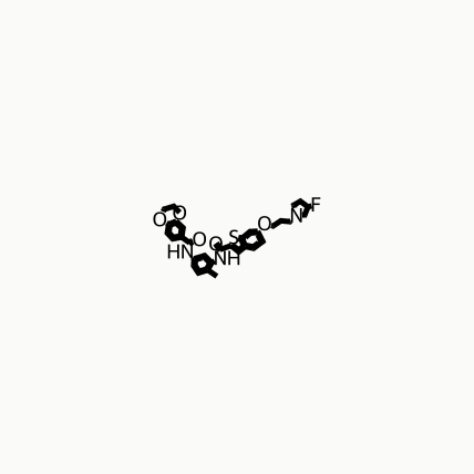 Cc1ccc(NC(=O)c2ccc3c(c2)OCCO3)cc1NC(=O)c1cc2ccc(OCCCN3CCC(F)C3)cc2s1